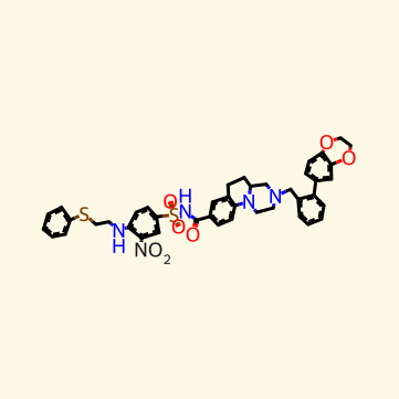 O=C(NS(=O)(=O)c1ccc(NCCSc2ccccc2)c([N+](=O)[O-])c1)c1ccc2c(c1)CCC1CN(Cc3ccccc3-c3ccc4c(c3)OCCO4)CCN21